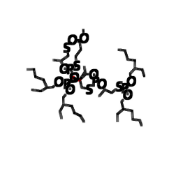 CCCCC(CC)COP(OCC(CC)CCCC)SCC(C)OP(OC(C)CSP(OCC(CC)CCCC)OCC(CC)CCCC)SCC(C)OP(OC(C)CSC)SCCC(=O)OC